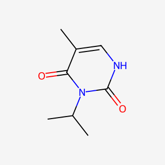 Cc1c[nH]c(=O)n(C(C)C)c1=O